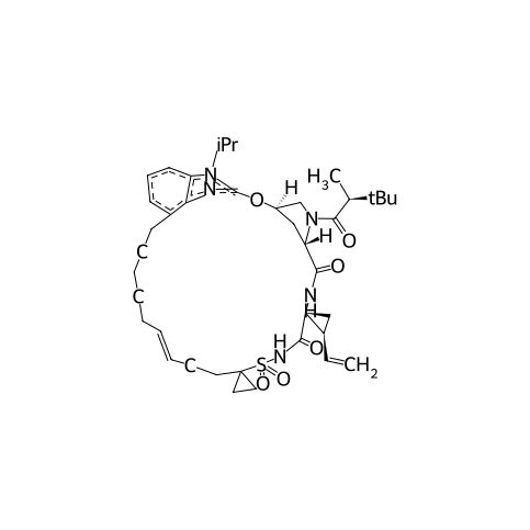 C=C[C@@H]1C[C@@]12NC(=O)[C@@H]1C[C@H](CN1C(=O)[C@@H](C)C(C)(C)C)Oc1nc3c(cccc3n1C(C)C)CCCCC/C=C/CCC1(CC1)S(=O)(=O)NC2=O